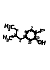 CCC(C)Cc1ccc(F)c(O)c1